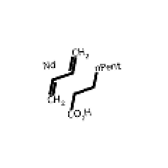 C=CC=C.CCCCCCCC(=O)O.[Nd]